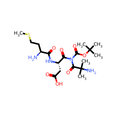 CSCC[C@H](N)C(=O)N[C@@H](CC(=O)O)C(=O)N(C(=O)OC(C)(C)C)C(=O)C(C)(C)N